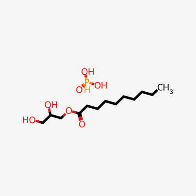 CCCCCCCCCC(=O)OCC(O)CO.O=[PH](O)O